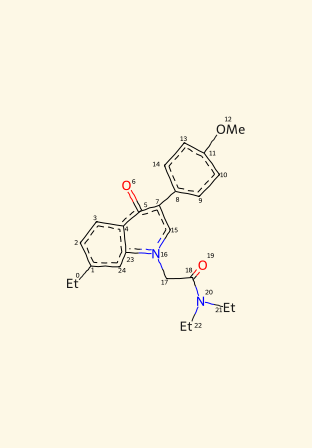 CCc1ccc2c(=O)c(-c3ccc(OC)cc3)cn(CC(=O)N(CC)CC)c2c1